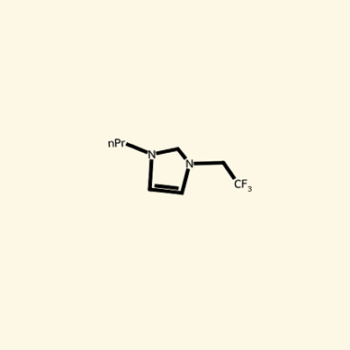 CCCN1C=CN(CC(F)(F)F)C1